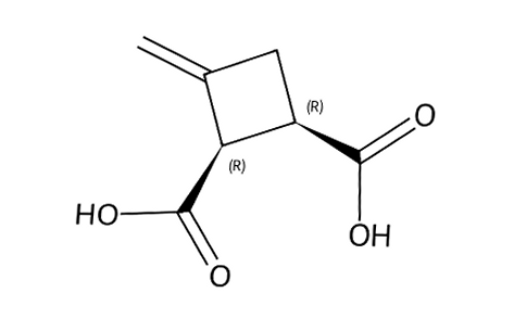 C=C1C[C@@H](C(=O)O)[C@H]1C(=O)O